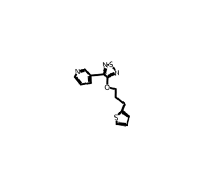 c1cncc(-c2nsnc2OCCCc2cccs2)c1